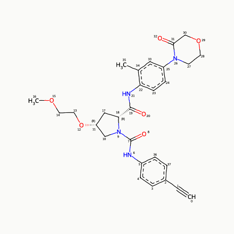 C#Cc1ccc(NC(=O)N2C[C@H](OCCOC)C[C@@H]2C(=O)Nc2ccc(N3CCOCC3=O)cc2C)cc1